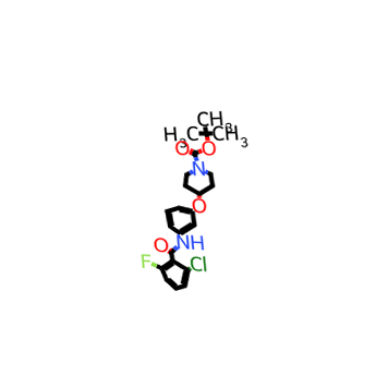 CC(C)(C)OC(=O)N1CCC(Oc2cccc(NC(=O)c3c(F)cccc3Cl)c2)CC1